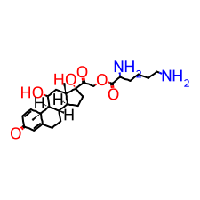 C[C@]12C=CC(=O)C=C1CC[C@@H]1[C@@H]2C(O)C[C@@]2(C)[C@H]1CC[C@]2(O)C(=O)COC(=O)[C@@H](N)CCCCN